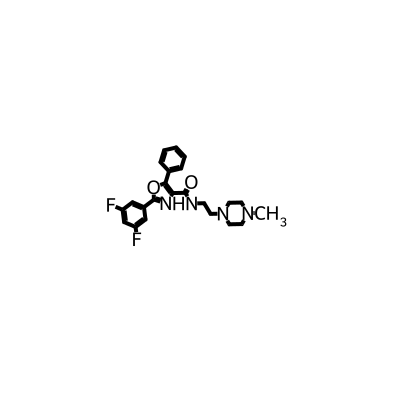 CN1CCN(CCNC(=O)c2nc(-c3cc(F)cc(F)c3)oc2-c2ccccc2)CC1